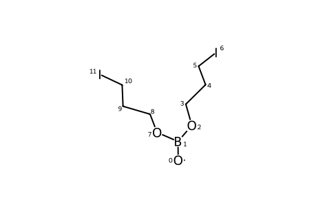 [O]B(OCCCI)OCCCI